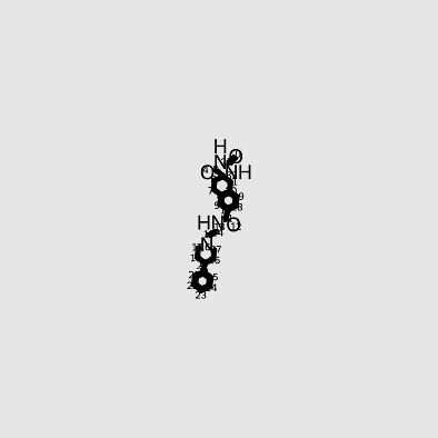 O=C1NC(=O)C2(CCc3cc(C(=O)NCCN4CCC(c5ccccc5)CC4)ccc3C2)N1